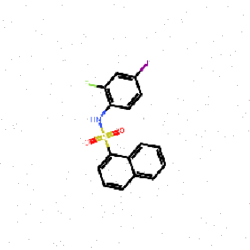 O=S(=O)(Nc1ccc(I)cc1F)c1cccc2ccccc12